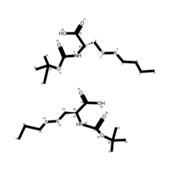 CCCCSSC[C@H](NC(=O)OC(C)(C)C)C(=O)O.CCCSSC[C@H](NC(=O)OC(C)(C)C)C(=O)O